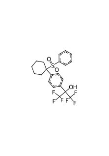 O=S(=O)(c1ccccc1)C1(c2ccc(C(O)(C(F)(F)F)C(F)(F)F)cc2)CCCCC1